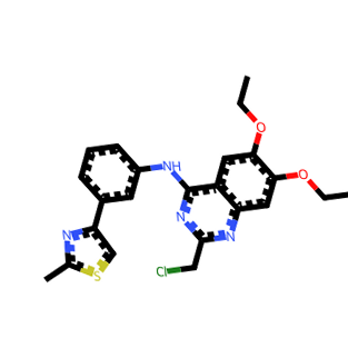 CCOc1cc2nc(CCl)nc(Nc3cccc(-c4csc(C)n4)c3)c2cc1OCC